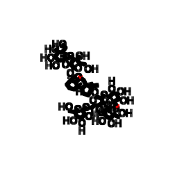 C=C1C[C@@]23CCC4[C@](C)(C(=O)OC5OC(CO)C(O)C(O)C5OC5OC(CO)C(O)C(O)C5O)CCC[C@@]4(C)[C@@H]2CC[C@]1(OC1OC(COC2OC(CO)C(O)C(O)C2O)C(O)C(OC2OC(CO)C(O)C(O)C2O)C1OC1OC(CO)C(O)C(O)C1O)C3